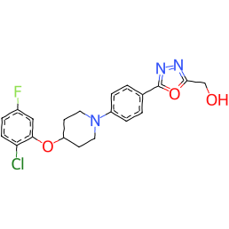 OCc1nnc(-c2ccc(N3CCC(Oc4cc(F)ccc4Cl)CC3)cc2)o1